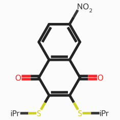 CC(C)SC1=C(SC(C)C)C(=O)c2cc([N+](=O)[O-])ccc2C1=O